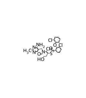 CC(=C(CCO)SC(=O)c1ccccc1Oc1c(Cl)cccc1Cl)N(C=O)Cc1cnc(C)nc1N